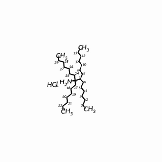 CCCCCCCC(CCCCCCC)C(N)(CCCCCCC)CCCCCCC.Cl